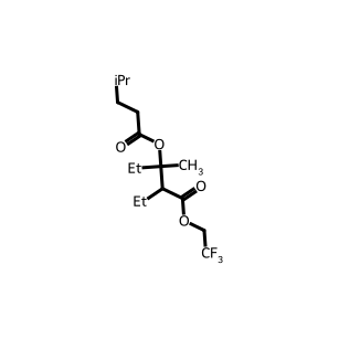 CCC(C(=O)OCC(F)(F)F)C(C)(CC)OC(=O)CCC(C)C